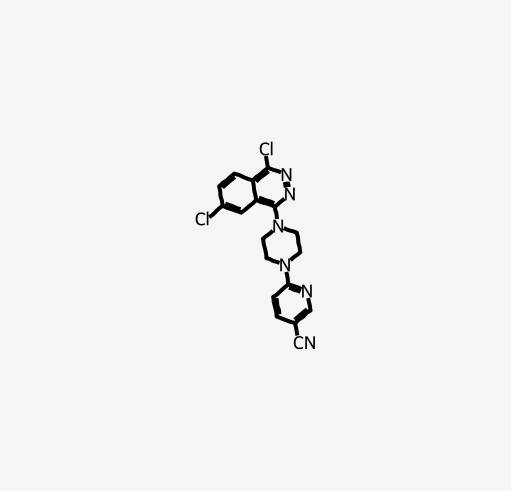 N#Cc1ccc(N2CCN(c3nnc(Cl)c4ccc(Cl)cc34)CC2)nc1